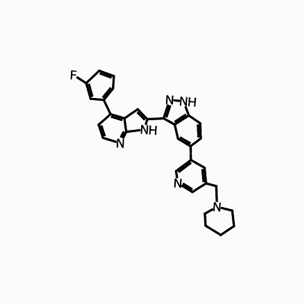 Fc1cccc(-c2ccnc3[nH]c(-c4n[nH]c5ccc(-c6cncc(CN7CCCCC7)c6)cc45)cc23)c1